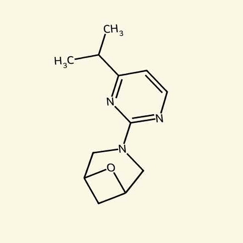 CC(C)c1ccnc(N2CC3CC(C2)O3)n1